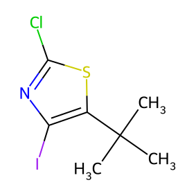 CC(C)(C)c1sc(Cl)nc1I